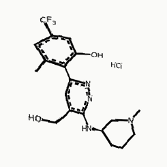 Cc1cc(C(F)(F)F)cc(O)c1-c1cc(CO)c(N[C@@H]2CCCN(C)C2)nn1.Cl